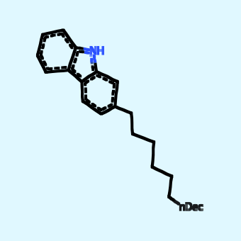 CCCCCCCCCCCCCCCCc1ccc2c(c1)[nH]c1ccccc12